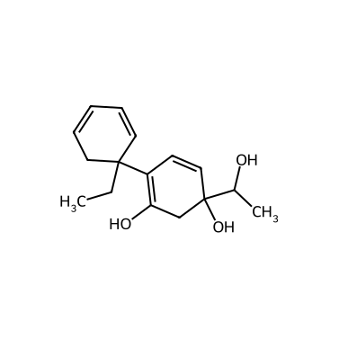 CCC1(C2=C(O)CC(O)(C(C)O)C=C2)C=CC=CC1